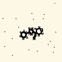 N#CC1(c2nc(-c3ccccc3)cs2)CCOCC1